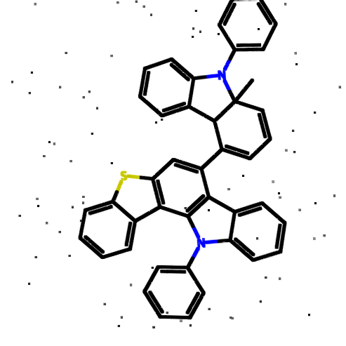 CC12C=CC=C(c3cc4sc5ccccc5c4c4c3c3ccccc3n4-c3ccccc3)C1c1ccccc1N2c1ccccc1